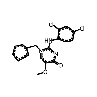 COc1cn(Cc2ccccc2)c(Nc2ccc(Cl)cc2Cl)nc1=O